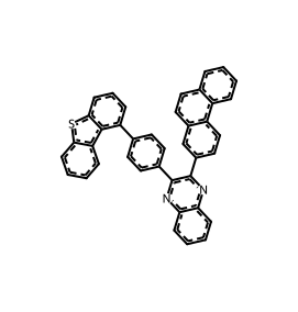 c1ccc2c(c1)ccc1cc(-c3nc4ccccc4nc3-c3ccc(-c4cccc5sc6ccccc6c45)cc3)ccc12